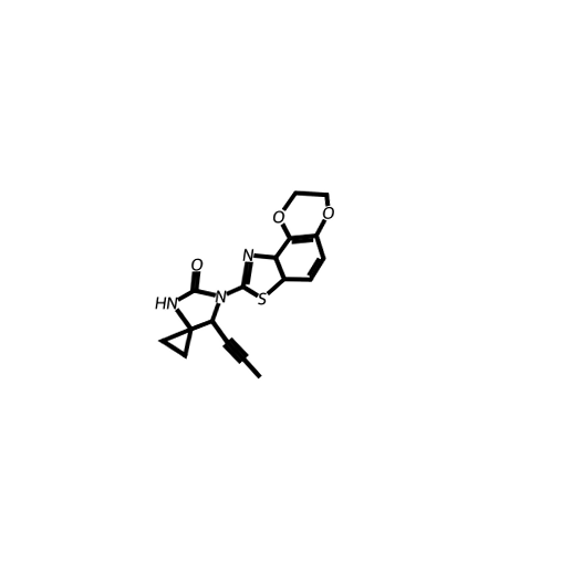 CC#CC1N(C2=NC3C4=C(C=CC3S2)OCCO4)C(=O)NC12CC2